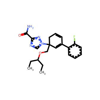 CCC(CC)OCC1(n2cnc(C(N)=O)n2)C=C(c2ccccc2F)C=CC1